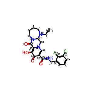 CC(C)CN1CCCCN2C(=O)c3c(O)c(=O)c(C(=O)NCc4cccc(Cl)c4F)cn3CC12